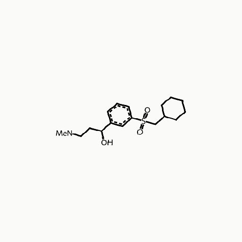 CNCCC(O)c1cccc(S(=O)(=O)CC2CCCCC2)c1